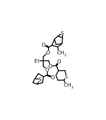 CCC(COC(=O)C1CCC(C)SC1)(COC(=O)C1CC2CC(C1)S2)COC(=O)C1C(C)C2CC1C1SC21